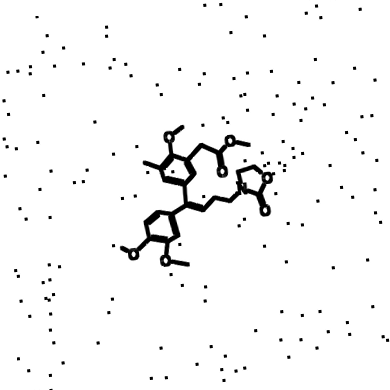 COC(=O)Cc1cc(/C(=C\CCN2CCOC2=O)c2ccc(OC)c(OC)c2)cc(C)c1OC